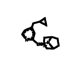 O=C(O)N1C2CCC1CC(Oc1cc(CC3CC3)ccn1)C2